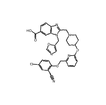 N#Cc1cc(Cl)ccc1OCc1cccc(OC2CCN(Cc3nc4ccc(C(=O)O)cc4n3Cc3cnco3)CC2)n1